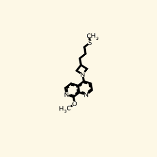 COc1nccc2c(N3CC(CCCSC)C3)ccnc12